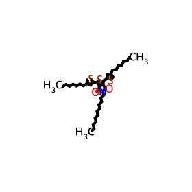 CCCCCCCCCCCCN1C(=O)c2c(-c3cc(CCCCCCCC)cs3)sc(-c3cc(CCCCCCCC)cs3)c2C1=O